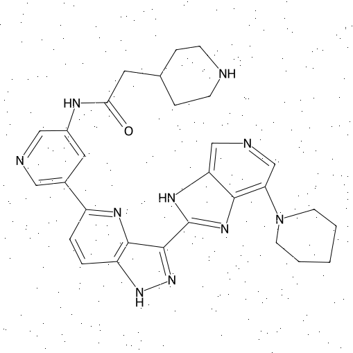 O=C(CC1CCNCC1)Nc1cncc(-c2ccc3[nH]nc(-c4nc5c(N6CCCCC6)cncc5[nH]4)c3n2)c1